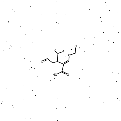 CCO/C=C(/C(=O)O)C(CC=O)C(F)F